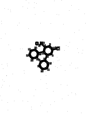 O=[N+]([O-])c1cc(Cl)cc(-c2ccccc2)c1-c1ccccc1